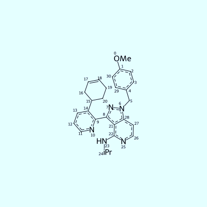 COc1ccc(Cn2nc(-c3ncccc3C3CC=CCC3)c3c(NC(C)C)nccc32)cc1